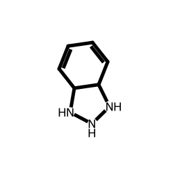 C1=CC2NNNC2C=C1